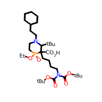 CCOP1(=O)CCN(CCC2CCCCC2)C(C(C)(C)C)C1(CCCCN(C(=O)OC(C)(C)C)C(=O)OC(C)(C)C)C(=O)O